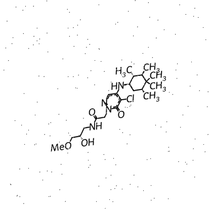 COC[C@@H](O)CNC(=O)Cn1ncc(N[C@@H]2C[C@H](C)C(C)(C)[C@H](C)[C@H]2C)c(Cl)c1=O